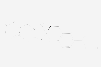 O=C(NO)c1ccc2c(c1)CC[C@]1(CCN(Cc3ccccc3F)C1=O)C2